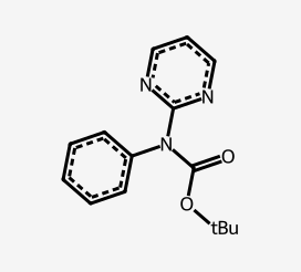 CC(C)(C)OC(=O)N(c1ccccc1)c1ncccn1